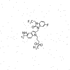 CS(=O)(=O)CCCn1c(Cn2c(=O)n(CC(F)(F)F)c3ccc(F)cc32)cc2cc(C3(N)CC3)ccc21